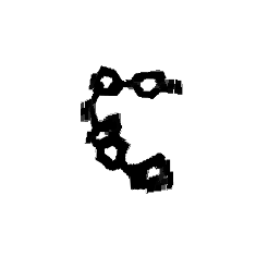 c1cc(N2CCNCC2)cc(Nc2nc3ccc(-c4cn[nH]c4)cc3s2)n1